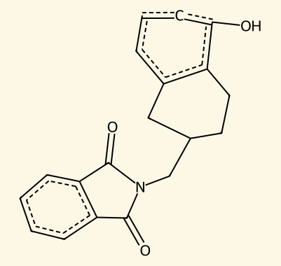 O=C1c2ccccc2C(=O)N1CC1CCc2c(O)cccc2C1